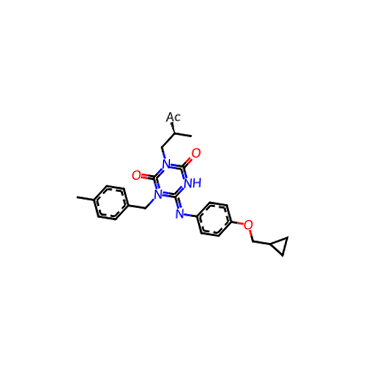 CC(=O)[C@@H](C)Cn1c(=O)[nH]/c(=N\c2ccc(OCC3CC3)cc2)n(Cc2ccc(C)cc2)c1=O